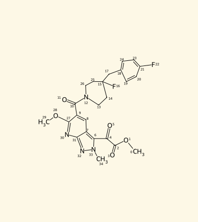 COC(=O)C(=O)c1c2cc(C(=O)N3CCC(F)(Cc4ccc(F)cc4)CC3)c(OC)nc2nn1C